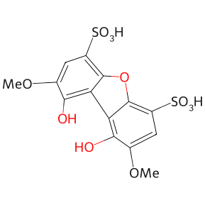 COc1cc(S(=O)(=O)O)c2oc3c(S(=O)(=O)O)cc(OC)c(O)c3c2c1O